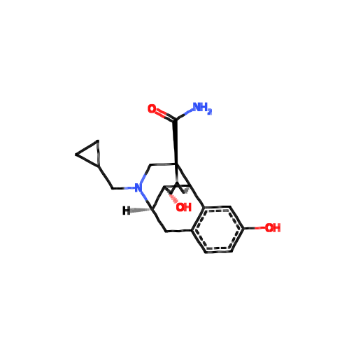 NC(=O)[C@H]1C[C@]23CCN(CC4CC4)[C@H](Cc4ccc(O)cc42)[C@]3(O)C1